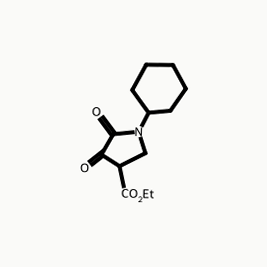 CCOC(=O)C1CN(C2CCCCC2)C(=O)C1=O